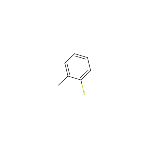 Cc1ccccc1[S]